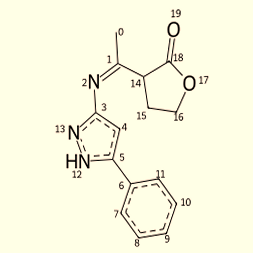 CC(=Nc1cc(-c2ccccc2)[nH]n1)C1CCOC1=O